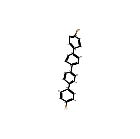 Brc1ccc(-c2ccc(-c3ccc(-c4ccc(Br)cc4)cc3)cc2)cc1